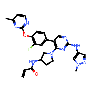 C=CC(=O)NC1CCN(c2nc(Nc3cnn(C)c3)ncc2-c2ccc(Oc3nccc(C)n3)c(F)c2)C1